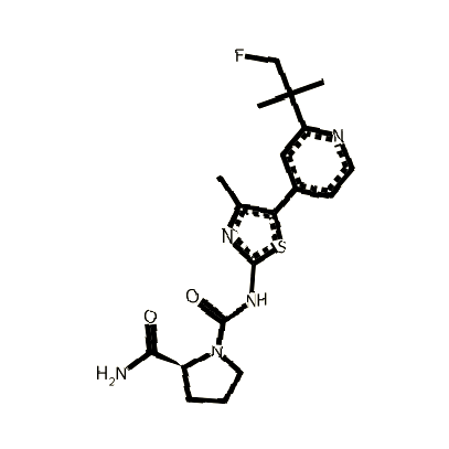 Cc1nc(NC(=O)N2CCC[C@H]2C(N)=O)sc1-c1ccnc(C(C)(C)CF)c1